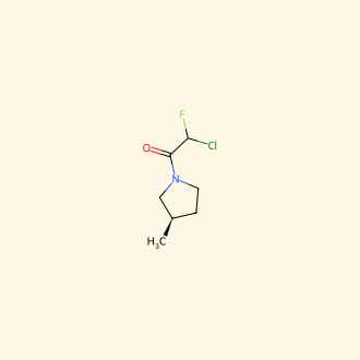 C[C@@H]1CCN(C(=O)C(F)Cl)C1